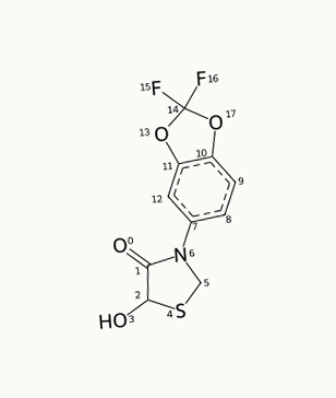 O=C1C(O)SCN1c1ccc2c(c1)OC(F)(F)O2